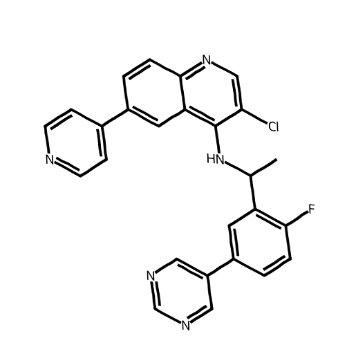 CC(Nc1c(Cl)cnc2ccc(-c3ccncc3)cc12)c1cc(-c2cncnc2)ccc1F